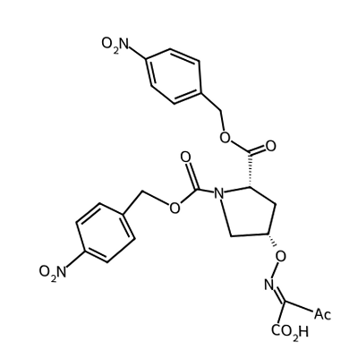 CC(=O)/C(=N\O[C@H]1C[C@@H](C(=O)OCc2ccc([N+](=O)[O-])cc2)N(C(=O)OCc2ccc([N+](=O)[O-])cc2)C1)C(=O)O